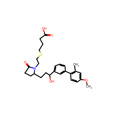 COc1ccc(-c2cccc(C(O)CCC3CCC(=O)N3CCSCCCC(=O)O)c2)c(C)c1